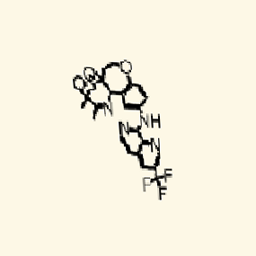 CC1=NC2c3cc(Nc4nccc5cc(C(F)(F)F)cnc45)ccc3OCCC2(C)S(=O)(=O)C1(C)C